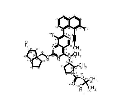 CC#Cc1c(F)ccc2cccc(-c3ncc4c(N(C)[C@@H]5CCN(C(=O)OC(C)(C)C)[C@@H]5C)nc(OC[C@@]56CCCN5C[C@H](F)C6)nc4c3F)c12